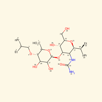 CCCC(CC)CO[C@@H]1C(C(=O)O)O[C@@H](OC2C(NC(N)=O)[C@H]([C@@H](CC)CCC)OC(CO)[C@H]2O)C(O)C1O